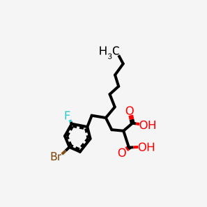 CCCCCCC(Cc1ccc(Br)cc1F)CC(C(=O)O)C(=O)O